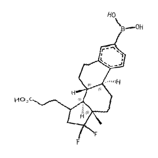 C[C@]12CC[C@@H]3c4ccc(B(O)O)cc4CC[C@H]3[C@@H]1C(CCC(=O)O)CC2(F)F